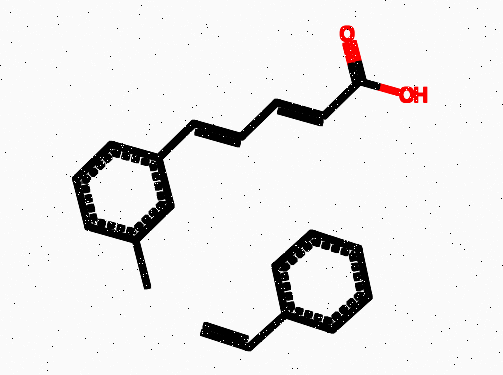 C=Cc1ccccc1.Cc1cccc(C=CC=CC(=O)O)c1